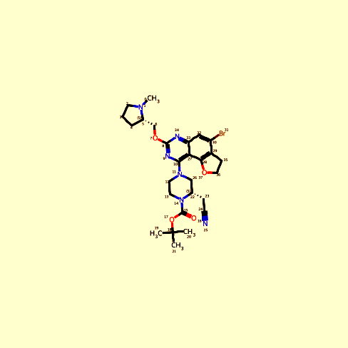 CN1CCC[C@H]1COc1nc(N2CCN(C(=O)OC(C)(C)C)[C@@H](CC#N)C2)c2c3c(c(Br)cc2n1)CCO3